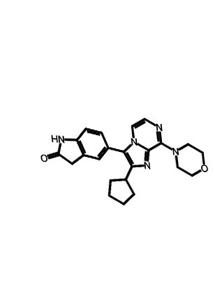 O=C1Cc2cc(-c3c(C4CCCC4)nc4c(N5CCOCC5)nccn34)ccc2N1